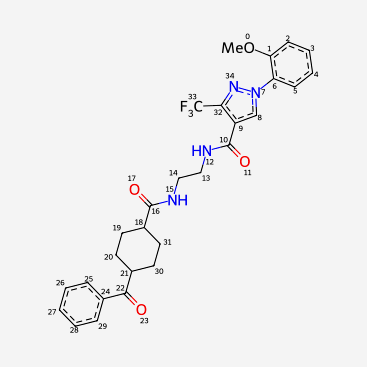 COc1ccccc1-n1cc(C(=O)NCCNC(=O)C2CCC(C(=O)c3ccccc3)CC2)c(C(F)(F)F)n1